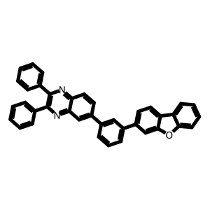 c1ccc(-c2nc3ccc(-c4cccc(-c5ccc6c(c5)oc5ccccc56)c4)cc3nc2-c2ccccc2)cc1